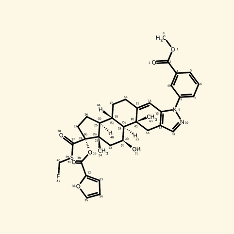 COC(=O)c1cccc(-n2ncc3c2C=C2CC[C@@H]4[C@H]([C@@H](O)C[C@@]5(C)[C@H]4CC[C@]5(OC(=O)c4ccco4)C(=O)SCF)[C@@]2(C)C3)c1